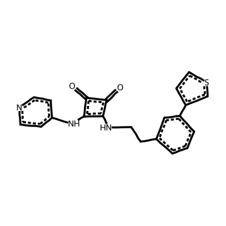 O=c1c(NCCc2cccc(-c3ccsc3)c2)c(Nc2ccncc2)c1=O